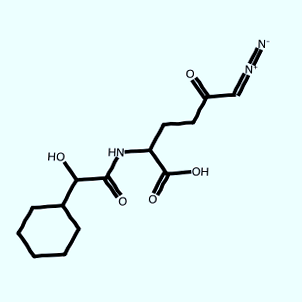 [N-]=[N+]=CC(=O)CCC(NC(=O)C(O)C1CCCCC1)C(=O)O